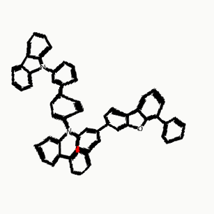 c1ccc(-c2ccccc2N(c2ccc(-c3cccc(-n4c5ccccc5c5ccccc54)c3)cc2)c2cccc(-c3ccc4c(c3)oc3c(-c5ccccc5)cccc34)c2)cc1